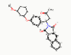 CCOC1CCCC(Oc2ccc(C(CC(=O)OC)N3C(=O)c4cc5ccccc5cc4C3=O)cc2)C1